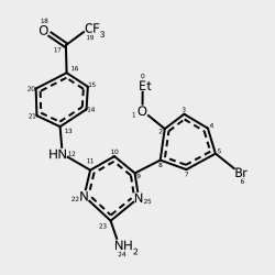 CCOc1ccc(Br)cc1-c1cc(Nc2ccc(C(=O)C(F)(F)F)cc2)nc(N)n1